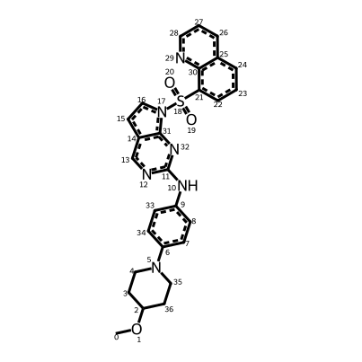 COC1CCN(c2ccc(Nc3ncc4ccn(S(=O)(=O)c5cccc6cccnc56)c4n3)cc2)CC1